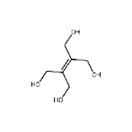 OCC(CO)=C(CO)CO